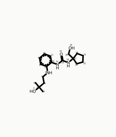 CC(C)(O)CCNc1ccccc1NC(=O)NC1(CO)CCCC1